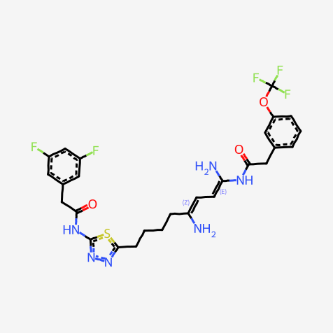 N/C(=C\C=C(/N)NC(=O)Cc1cccc(OC(F)(F)F)c1)CCCCc1nnc(NC(=O)Cc2cc(F)cc(F)c2)s1